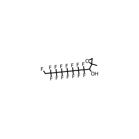 CC1(C(O)C(F)(F)C(F)(F)C(F)(F)C(F)(F)C(F)(F)C(F)(F)C(F)(F)CF)CO1